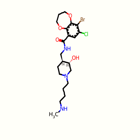 CNCCCCN1CC[C@@H](CNC(=O)c2cc(Cl)c(Br)c3c2OCCCO3)[C@H](O)C1